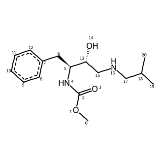 COC(=O)N[C@@H](Cc1ccccc1)[C@H](O)CNCC(C)C